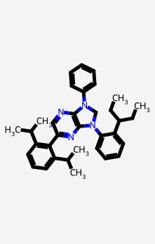 CCC(CC)c1ccccc1N1CN(c2ccccc2)c2ncc(-c3c(C(C)C)cccc3C(C)C)nc21